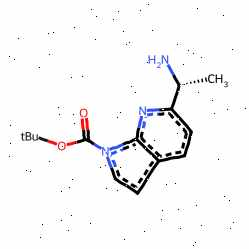 C[C@@H](N)c1ccc2ccn(C(=O)OC(C)(C)C)c2n1